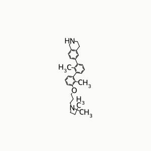 Cc1c(OCCCN2CCC2(C)C)cccc1-c1cccc(-c2ccc3c(c2)CCNC3)c1C